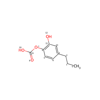 CCCc1ccc(OC(=O)O)c(O)c1